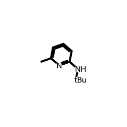 CC1=C=C=CC(NC(C)(C)C)=N1